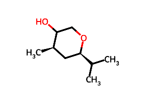 CC(C)[C@H]1C[C@@H](C)C(O)CO1